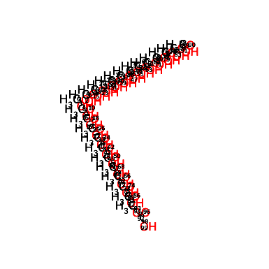 CC(=O)O.CC(=O)O.CC(=O)O.CC(=O)O.CC(=O)O.CC(=O)O.CC(=O)O.CC(=O)O.CC(=O)O.CC(=O)O.CC(=O)O.CC(=O)O.CC(=O)O.CC(=O)O.CC(=O)O.CC(=O)O.CC(=O)O.CC(=O)O.CC(=O)O.CC(=O)O.CC(=O)O.CC(=O)O.CC(=O)O.CCOC(=O)CCO